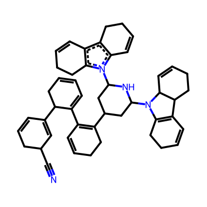 N#CC1C=C(C2CC=CC=C2C2=C(C3CC(N4C5=C(C=CCC5)C5CCC=CC54)NC(n4c5c(c6c4CCC=C6)CCC=C5)C3)CCC=C2)C=CC1